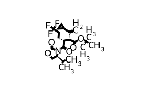 C=C(C1CC1)[C@H](C(=O)OC(C)(C)C)[C@@H](CCC(F)(F)F)C(=O)N1C(=O)OC[C@@H]1C(C)C